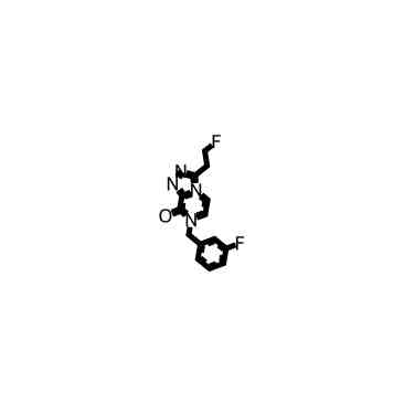 O=c1c2nnc(CCF)n2ccn1Cc1cccc(F)c1